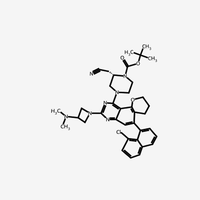 CN(C)C1CN(c2nc(N3CCN(C(=O)OC(C)(C)C)[C@@H](CC#N)C3)c3c4c(c(-c5cccc6cccc(Cl)c56)cc3n2)CCCO4)C1